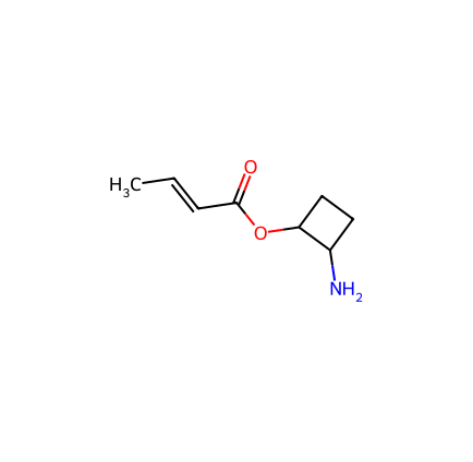 CC=CC(=O)OC1CCC1N